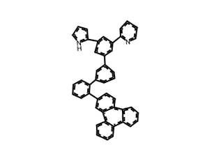 c1ccc(-c2cc(-c3cccc(-c4ccccc4-c4ccc5c6ccccc6c6ccccc6c5c4)c3)cc(-c3ccc[nH]3)c2)nc1